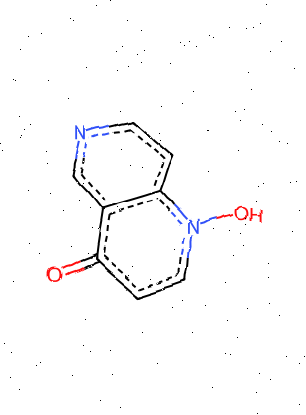 O=c1ccn(O)c2ccncc12